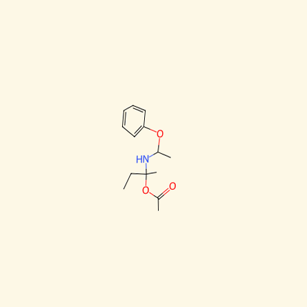 CCC(C)(NC(C)Oc1ccccc1)OC(C)=O